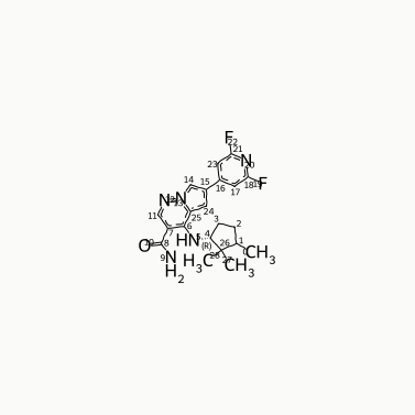 CC1CC[C@@H](Nc2c(C(N)=O)cnn3cc(-c4cc(F)nc(F)c4)cc23)C1(C)C